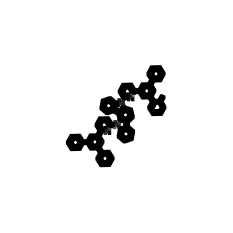 CC1CC=CC=C1c1cc(-c2ccccc2)cc(-c2cccc(-n3c4ccccc4c4c3ccc3c5ccccc5n(-c5cccc(-c6cc(-c7ccccc7)cc(-c7ccccc7)c6)n5)c34)n2)c1